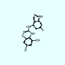 Oc1cc(Cl)cc2c1NC(Nc1cc(F)cc3[nH]ncc13)=NS2